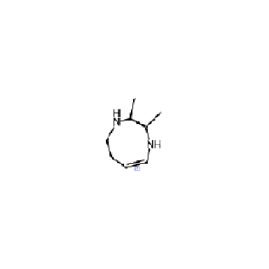 CC1N/C=C\CCNC1C